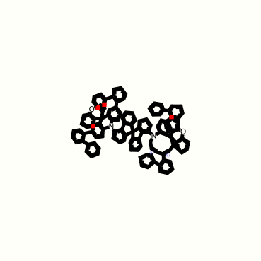 C=C1/C=C(c2ccccc2-c2ccccc2)\C=C/CN(c2cccc3c2-c2ccccc2C32c3ccccc3-c3c(N4c5ccc(-c6ccccc6-c6ccccc6)cc5C5(c6ccccc6Oc6ccccc65)c5cc(-c6ccccc6-c6ccccc6)ccc54)cccc32)c2ccc(-c3ccccc3-c3ccccc3)cc2C12c1ccccc1Oc1ccccc12